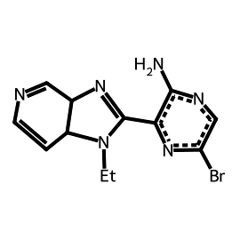 CCN1C(c2nc(Br)cnc2N)=NC2C=NC=CC21